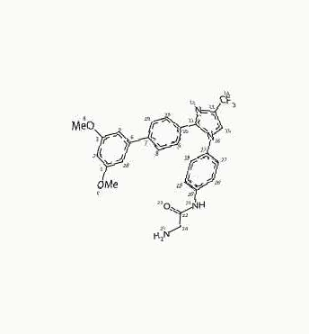 COc1cc(OC)cc(-c2ccc(-c3nc(C(F)(F)F)cn3-c3ccc(NC(=O)CN)cc3)cc2)c1